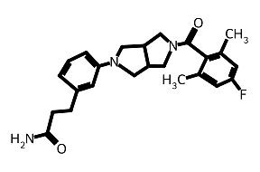 Cc1cc(F)cc(C)c1C(=O)N1CC2CN(c3cccc(CCC(N)=O)c3)CC2C1